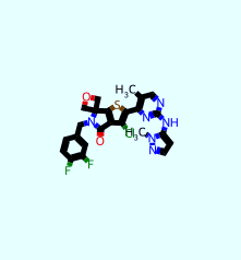 Cc1cnc(Nc2ccnn2C)nc1-c1sc2c(c1Cl)C(=O)N(Cc1ccc(F)c(F)c1)C21COC1